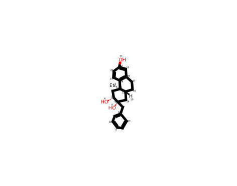 CC[C@@]12C[C@@H](O)[C@](O)(Cc3ccccc3)C[C@H]1CCc1cc(O)ccc12